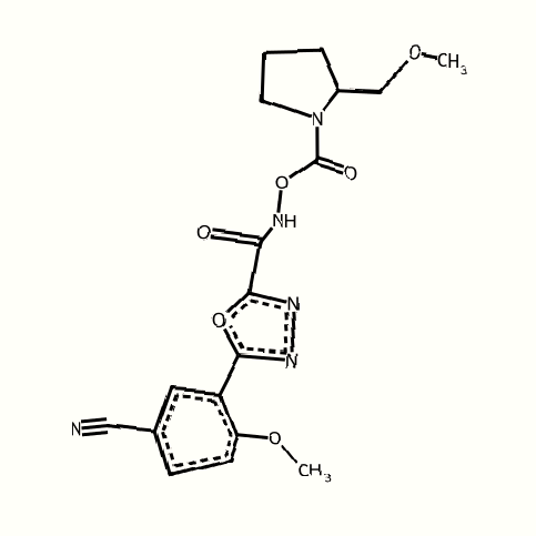 COCC1CCCN1C(=O)ONC(=O)c1nnc(-c2cc(C#N)ccc2OC)o1